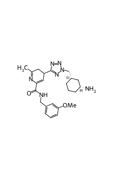 COc1cccc(CNC(=O)C2=CC(c3nnn(C[C@H]4CCC[C@@H](N)C4)n3)CC(C)=N2)c1